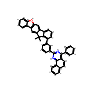 CC1(C)c2cc3c(cc2-c2cccc(-c4cccc(-c5nc(-c6ccccc6)c6ccc7ccccc7c6n5)c4)c21)oc1ccccc13